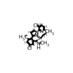 CCCCSC(NC)c1cc(Cl)cc(C)c1-c1ccn(-c2ncccc2Cl)n1